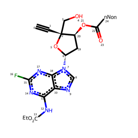 C#C[C@]1(CO)O[C@@H](n2cnc3c(NC(=O)OCC)nc(F)nc32)C[C@@H]1OC(=O)CCCCCCCCC